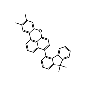 Cc1cc2c(cc1C)-c1cccc3c(-c4cccc5c4-c4ccccc4C5(C)C)ccc(c13)O2